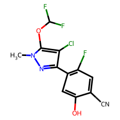 Cn1nc(-c2cc(O)c(C#N)cc2F)c(Cl)c1OC(F)F